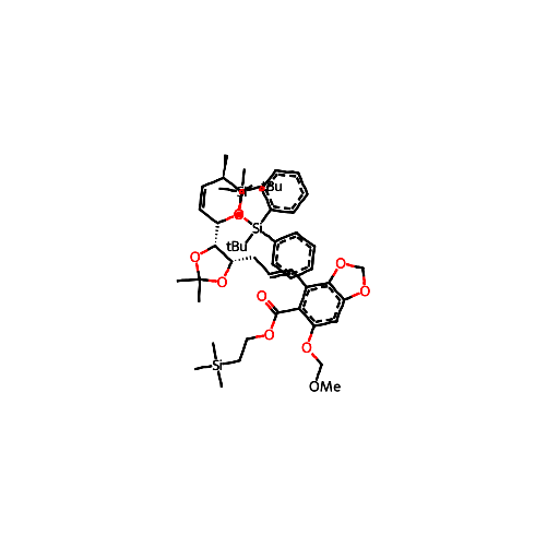 COCOc1cc2c(c(/C=C/C[C@@H]3OC(C)(C)O[C@@H]3C(/C=C\[C@@H](C)C(C)O[Si](c3ccccc3)(c3ccccc3)C(C)(C)C)O[Si](C)(C)C(C)(C)C)c1C(=O)OCC[Si](C)(C)C)OCO2